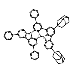 c1ccc(-c2cc3c4c(c2)-n2c5ccc(-c6ccccc6)cc5c5cc(-c6ccccc6)cc(c52)B4n2c4ccc(C56CC7CC(CC(C7)C5)C6)cc4c4cc(C56CC7CC(CC(C7)C5)C6)cc-3c42)cc1